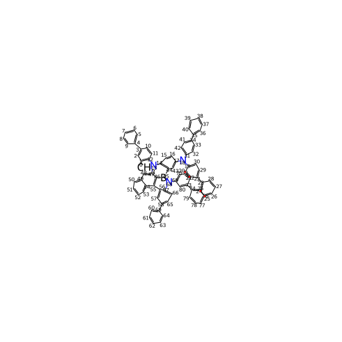 Cc1cc(-c2ccccc2)ccc1N1c2ccc(N(c3ccc(-c4ccccc4)cc3)c3ccc(-c4ccccc4)cc3)cc2B2c3c1cc1ccccc1c3-c1cc(-c3ccccc3)ccc1N2c1cccc(-c2ccccc2)c1